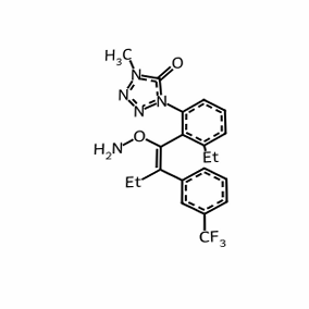 CC/C(=C(\ON)c1c(CC)cccc1-n1nnn(C)c1=O)c1cccc(C(F)(F)F)c1